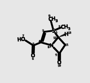 CS1(C)C=C(C(=O)O)N2C(=O)C[C@@H]21